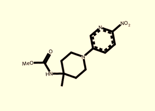 COC(=O)NC1(C)CCN(c2ccc([N+](=O)[O-])nc2)CC1